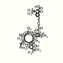 CC[C@H]1OC(=O)[C@H](C)[C@@H](O[C@H]2C[C@@](C)(OC)[C@@H](OC(=O)NCCOCCCc3ccc4c(c3)c(=O)c(C(=O)O)cn4N(C)C)[C@H](C)O2)[C@H](C)[C@@H](O[C@@H]2O[C@H](C)C[C@H](N(C)C)[C@H]2O)[C@](C)(O)C[C@@H](C)/C(=N\OCC#N)[C@@H](C)[C@@H](O)[C@]1(C)O